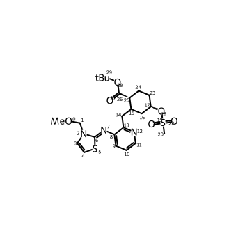 COCn1ccs/c1=N\c1cccnc1CC1C[C@H](OS(C)(=O)=O)CC[C@@H]1C(=O)OC(C)(C)C